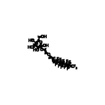 OC[C@H]1OC(O)(OCCOC/C=C/C(F)(F)C(F)(F)C(F)(F)C(F)(F)C(F)(F)C(F)(F)F)[C@H](O)[C@@H](O)[C@@H]1O